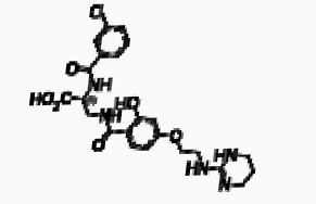 O=C(N[C@@H](CNC(=O)c1ccc(OCCNC2=NCCCN2)cc1O)C(=O)O)c1cccc(Cl)c1